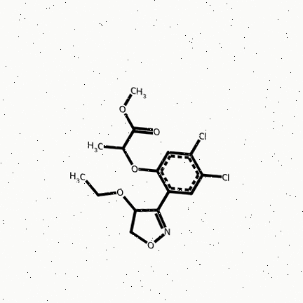 CCOC1CON=C1c1cc(Cl)c(Cl)cc1OC(C)C(=O)OC